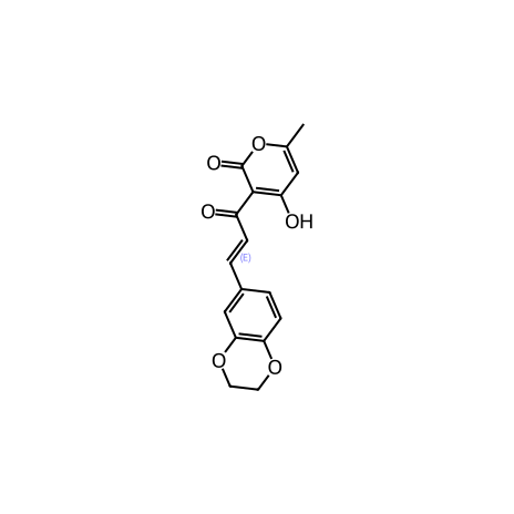 Cc1cc(O)c(C(=O)/C=C/c2ccc3c(c2)OCCO3)c(=O)o1